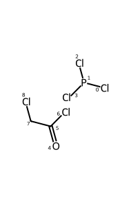 ClP(Cl)Cl.O=C(Cl)CCl